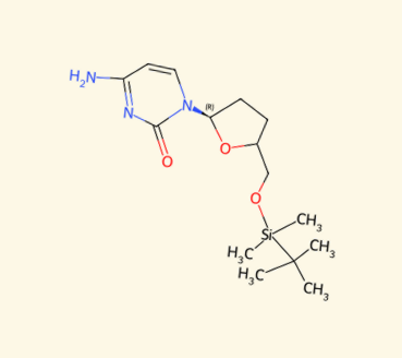 CC(C)(C)[Si](C)(C)OCC1CC[C@H](n2ccc(N)nc2=O)O1